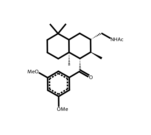 COc1cc(OC)cc(C(=O)[C@H]2[C@H](C)[C@@H](CNC(C)=O)CC3C(C)(C)CCC[C@@]32C)c1